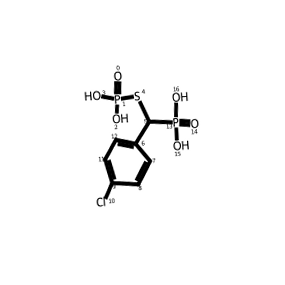 O=P(O)(O)SC(c1ccc(Cl)cc1)P(=O)(O)O